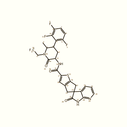 CC1C(c2c(F)ccc(F)c2F)CC(NC(=O)c2cc3c(s2)CC2(C3)C(=O)Nc3ncccc32)C(=O)N1CC(F)(F)F